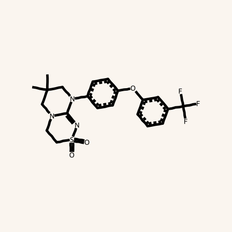 CC1(C)CN2CCS(=O)(=O)N=C2N(c2ccc(Oc3cccc(C(F)(F)F)c3)cc2)C1